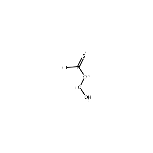 OOOC(=S)I